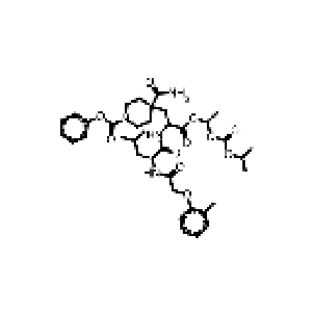 Cc1ccccc1OCC(=O)N[C@@H](CC(C)C)C(=O)N[C@@H](CC1(C(N)=O)CCN(C(=O)Oc2ccccc2)CC1)C(=O)OC(C)OC(=O)OC(C)C